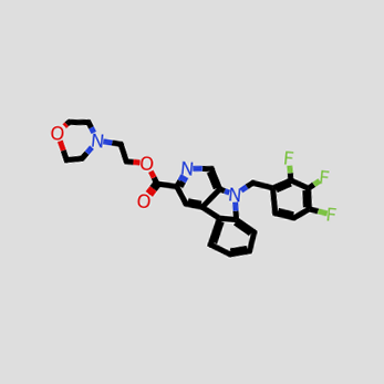 O=C(OCCN1CCOCC1)c1cc2c3ccccc3n(Cc3ccc(F)c(F)c3F)c2cn1